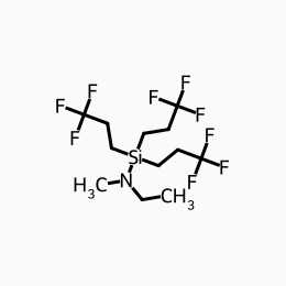 CCN(C)[Si](CCC(F)(F)F)(CCC(F)(F)F)CCC(F)(F)F